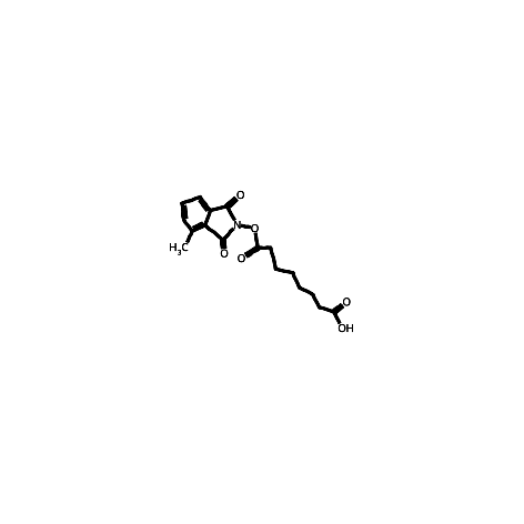 Cc1cccc2c1C(=O)N(OC(=O)CCCCCCC(=O)O)C2=O